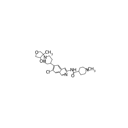 CN1CCC(C(=O)Nc2cc3cc(C4CCN(C5(C)COCC5O)CC4)c(Cl)cc3cn2)CC1